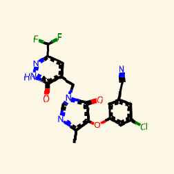 Cc1ncn(Cc2cc(C(F)F)n[nH]c2=O)c(=O)c1Oc1cc(Cl)cc(C#N)c1